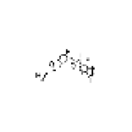 CCOC(=O)Cc1ccc(F)c(CC(=O)Nc2c(F)c(F)c(C(F)(F)F)c(F)c2F)c1